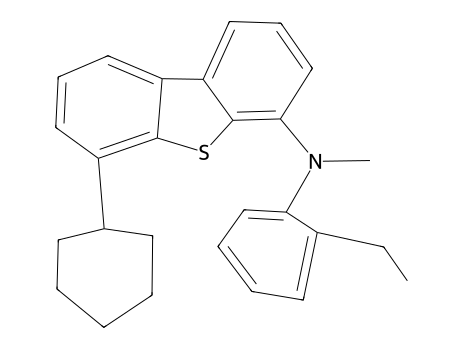 CCc1ccccc1N(C)c1cccc2c1sc1c(C3CCCCC3)cccc12